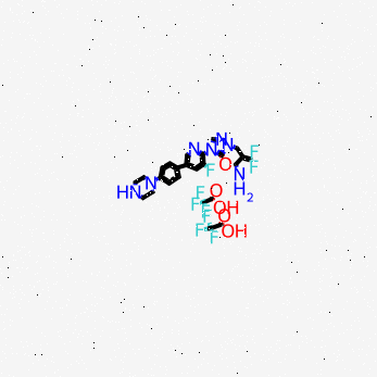 NCC(Cn1ncn(-c2ncc(-c3ccc(N4CCNCC4)cc3)cc2F)c1=O)=C(F)F.O=C(O)C(F)(F)F.O=C(O)C(F)(F)F